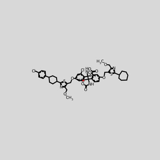 COCc1nc(C2CCCCCC2)sc1COc1ccc(C2(C3(c4ccc(OCc5sc(C6CCC(c7ccc(Cl)cc7)CC6)nc5COC)cc4Cl)NOC(=O)N3)NOC(=O)N2)c(Cl)c1